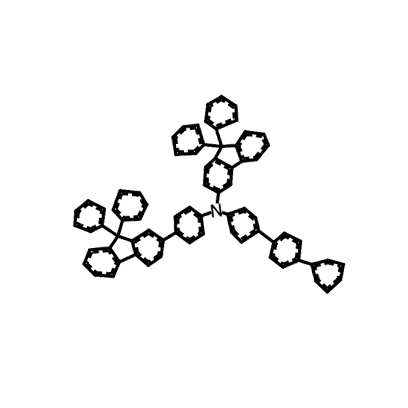 c1ccc(-c2ccc(-c3ccc(N(c4ccc(-c5ccc6c(c5)C(c5ccccc5)(c5ccccc5)c5ccccc5-6)cc4)c4ccc5c(c4)-c4ccccc4C5(c4ccccc4)c4ccccc4)cc3)cc2)cc1